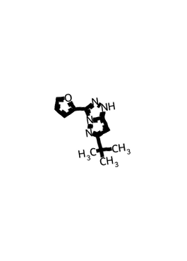 CC(C)(C)c1cc2[nH]nc(-c3ccco3)n2n1